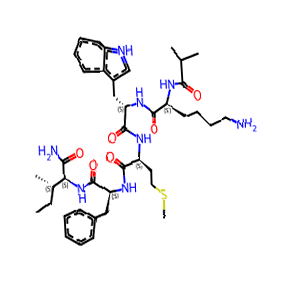 CC[C@H](C)[C@H](NC(=O)[C@H](Cc1ccccc1)NC(=O)[C@H](CCSC)NC(=O)[C@H](Cc1c[nH]c2ccccc12)NC(=O)[C@H](CCCCN)NC(=O)C(C)C)C(N)=O